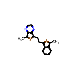 Cc1sc(CCc2sc(C)c3nccnc23)c2ccccc12